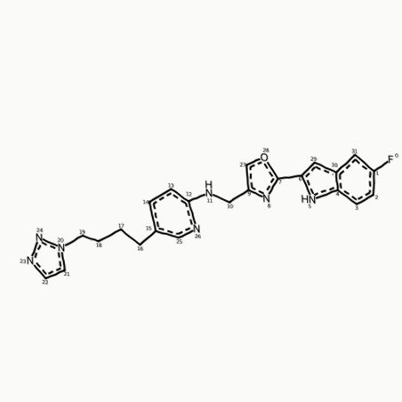 Fc1ccc2[nH]c(-c3nc(CNc4ccc(CCCCn5ccnn5)cn4)co3)cc2c1